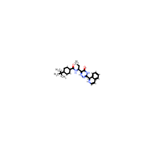 CCC(NC(=O)C1CCC(C(C)(C)C)CC1)c1nnc(-c2nccc3ccccc23)[nH]c1=O